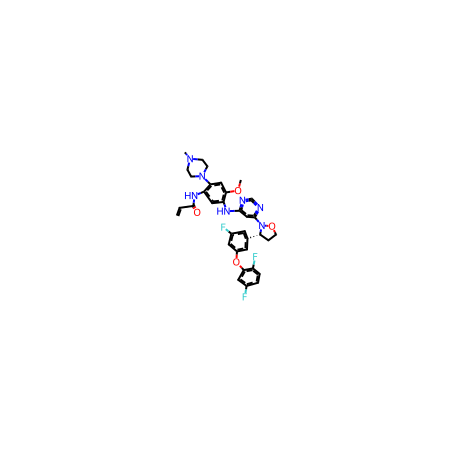 C=CC(=O)Nc1cc(Nc2cc(N3OCC[C@@H]3c3cc(F)cc(Oc4cc(F)ccc4F)c3)ncn2)c(OC)cc1N1CCN(C)CC1